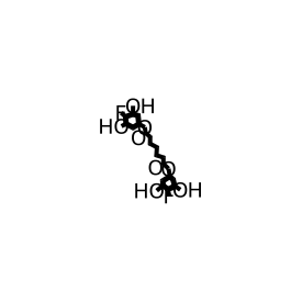 O=C(CCCCCC(=O)Oc1cc(O)c(F)c(O)c1)Oc1cc(O)c(F)c(O)c1